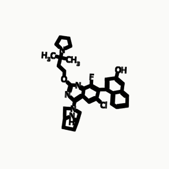 CC(C)(CCOc1nc(N2CC3CCC(C2)N3)c2cc(Cl)c(-c3cc(O)cc4ccccc34)c(F)c2n1)N1CCCC1